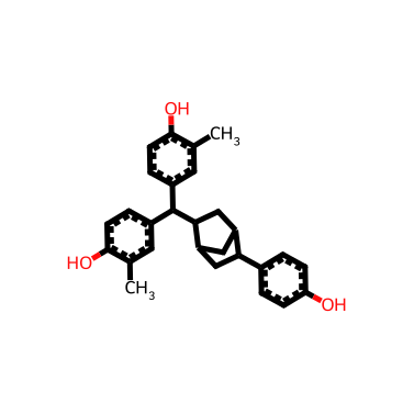 Cc1cc(C(c2ccc(O)c(C)c2)C2CC3CC2CC3c2ccc(O)cc2)ccc1O